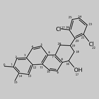 Cc1cc2ccc3c4c(ccc3c2cc1C)C(O)CC(c1c(Cl)cccc1Cl)C4